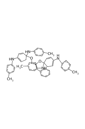 Cc1ccc(NC2=CCC(Nc3ccc(C)cc3)(OCC(Cc3ccccc3)OC3(Nc4ccc(C)cc4)C=CC(Nc4ccc(C)cc4)=CC3)C=C2)cc1